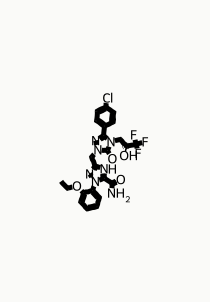 CCOc1ccccc1-n1nc(CN2N=C(c3ccc(Cl)cc3)N(C[C@@H](O)C(F)(F)F)C2O)nc1C(N)=O